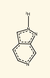 [2H]n1cc2ccncc2n1